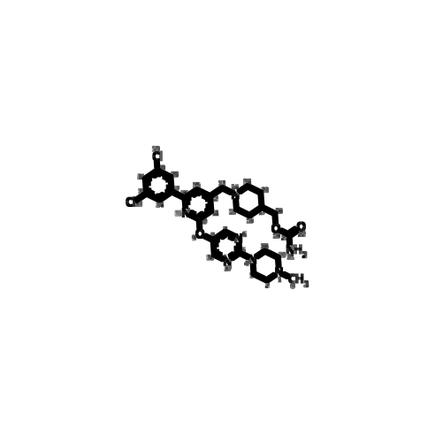 CN1CCN(c2ncc(Oc3cc(CN4CCC(COC(N)=O)CC4)cc(-c4cc(Cl)cc(Cl)c4)n3)cn2)CC1